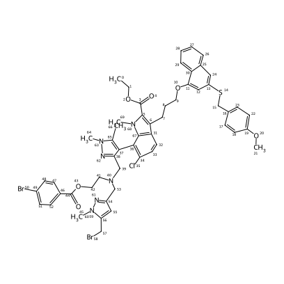 CCOC(=O)c1c(CCCOc2cc(SCc3ccc(OC)cc3)cc3ccccc23)c2ccc(Cl)c(-c3c(CN(CCOC(=O)c4ccc(Br)cc4)Cc4cc(CBr)n(C)n4)nn(C)c3C)c2n1C